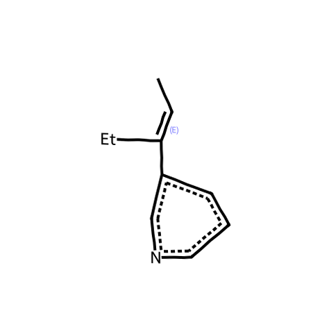 C/C=C(\CC)c1cccnc1